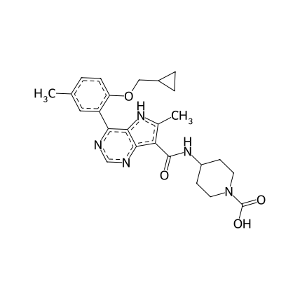 Cc1ccc(OCC2CC2)c(-c2ncnc3c(C(=O)NC4CCN(C(=O)O)CC4)c(C)[nH]c23)c1